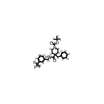 CC(C)(C)OC(=O)N1CCC(Cc2ccccc2)(C(=O)NCc2cccc(C(F)(F)F)c2)CC1